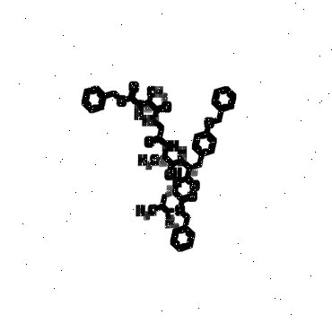 CC(C)C[C@H](NC(=O)[C@H](Cc1ccc(OCc2ccccc2)cc1)NC(=O)[C@H](C)NC(=O)CNC(=O)[C@H](C)NC(=O)OCc1ccccc1)C(=O)OCc1ccccc1